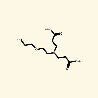 COC(=O)CCN(CCOCCOC(C)=O)CCC(=O)OC